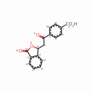 O=C(O)c1ccc(C(=O)CC2OC(=O)c3ccccc32)cc1